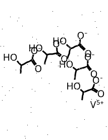 CC(O)C(=O)[O-].CC(O)C(=O)[O-].CC(O)C(=O)[O-].CC(O)C(=O)[O-].CC(O)C(=O)[O-].[V+5]